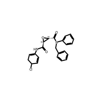 O=C(NC1=CCC(Cl)C=C1)[C@H]1O[C@@H]1C(=O)N(Cc1ccccc1)c1ccccc1